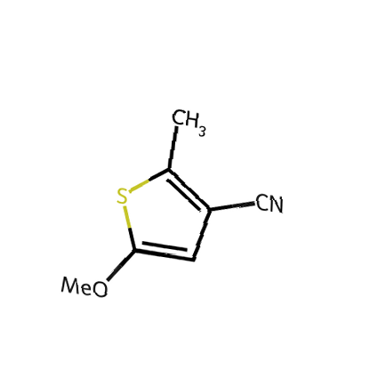 COc1cc(C#N)c(C)s1